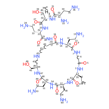 CC(C)C[C@@H]1NC(=O)CNC(=O)[C@H](CCN)NC(=O)[C@@H](NC(=O)[C@H](CCN)NC(=O)[C@@H](NC(=O)[C@@H](N)CCN)[C@@H](C)O)CCNC[C@H](CO)NC(=O)[C@H](CCN)NC(=O)[C@H](CCN)NC1=O